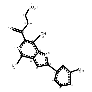 N#Cc1nc(C(=O)NCC(=O)O)c(O)c2sc(-c3cccc(C(F)(F)F)c3)cc12